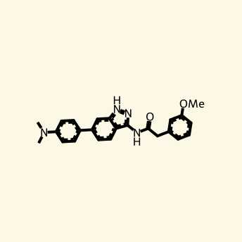 COc1cccc(CC(=O)Nc2n[nH]c3cc(-c4ccc(N(C)C)cc4)ccc23)c1